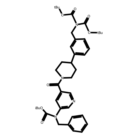 CC(C)COC(=O)N(Cc1ccccc1)c1cncc(C(=O)N2CCC(c3cccc(CN(C(=O)OC(C)(C)C)C(=O)OC(C)(C)C)c3)CC2)c1